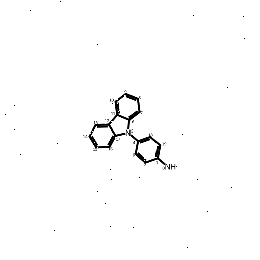 [NH]c1ccc(-n2c3ccccc3c3ccccc32)cc1